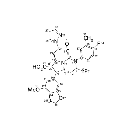 CCCC(CCC)N(C(=C=O)N1CC(c2cc(OC)c3c(c2)OCO3)[C@H](C(=O)O)[C@H]1CCn1cccn1)c1ccc(F)c(C)c1